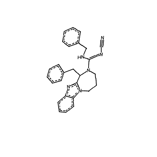 N#C/N=C(\NCc1ccccc1)N1CCCn2c(nc3ccccc32)C1Cc1ccccc1